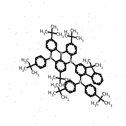 CC(C)(C)c1ccc(N(c2ccc(C(C)(C)C)cc2)c2cc(N3c4ccc(C(C)(C)C)cc4B4c5cc(C(C)(C)C)ccc5N(c5ccc(C(C)(C)C)cc5)c5cc(C(C)(C)C)cc3c54)cc3c2-c2ccccc2C3(C)C)cc1